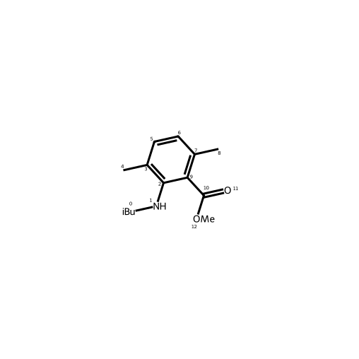 CCC(C)Nc1c(C)ccc(C)c1C(=O)OC